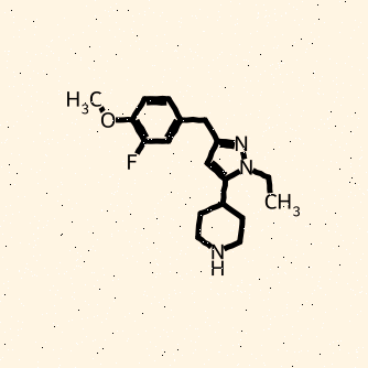 CCn1nc(Cc2ccc(OC)c(F)c2)cc1C1CCNCC1